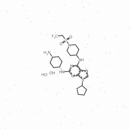 Cl.Cl.N[C@H]1CC[C@H](Nc2nc(NC3CCN(S(=O)(=O)CC(F)(F)F)CC3)c3ncn(C4CCCC4)c3n2)CC1